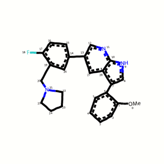 COc1ccccc1-c1c[nH]c2ncc(-c3ccc(F)c(CN4CCCC4)c3)cc12